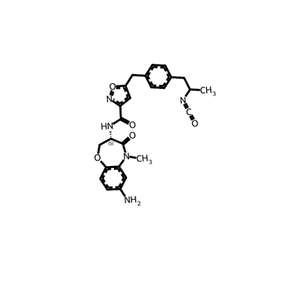 CC(Cc1ccc(Cc2cc(C(=O)N[C@H]3COc4ccc(N)cc4N(C)C3=O)no2)cc1)N=C=O